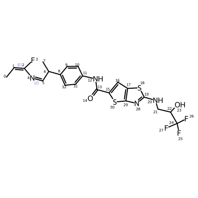 C/C=C(F)\N=C/C(C)c1ccc(NC(=O)c2cc3sc(NCC(O)C(F)(F)F)nc3s2)cc1